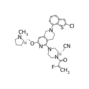 C=C(F)C(=O)N1CCN(c2nc(OC[C@@H]3CCCN3C)cc3c2CCN(c2cccc4cc(Cl)sc24)C3)C[C@@H]1CC#N